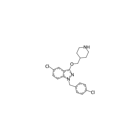 Clc1ccc(Cn2nc(OCC3CCNCC3)c3cc(Cl)ccc32)cc1